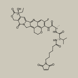 CC[C@@]1(O)C(=O)OCc2c1cc1n(c2=O)Cc2c-1nc1cc(F)c(NC(=O)[C@H](C)NC(=O)[C@@H](NC(=O)CCCCCN3C(=O)C=CC3=O)C(C)C)c3c1c2CCO3